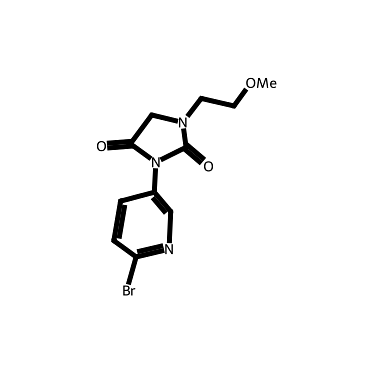 COCCN1CC(=O)N(c2ccc(Br)nc2)C1=O